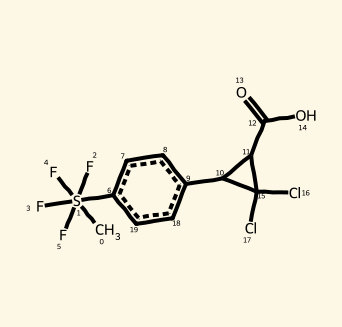 CS(F)(F)(F)(F)c1ccc(C2C(C(=O)O)C2(Cl)Cl)cc1